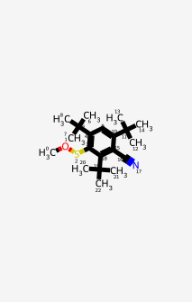 COSc1c(C(C)(C)C)cc(C(C)(C)C)c(C#N)c1C(C)(C)C